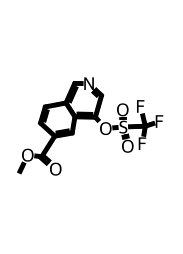 COC(=O)c1ccc2cncc(OS(=O)(=O)C(F)(F)F)c2c1